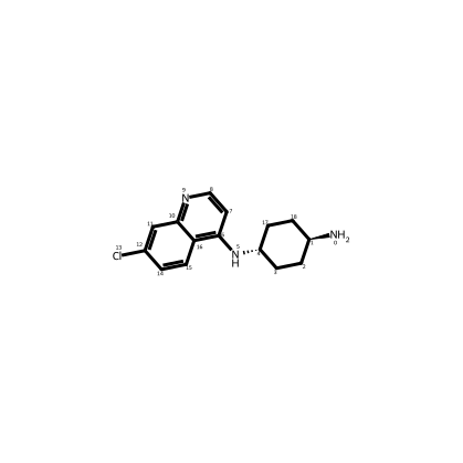 N[C@H]1CC[C@H](Nc2ccnc3cc(Cl)ccc23)CC1